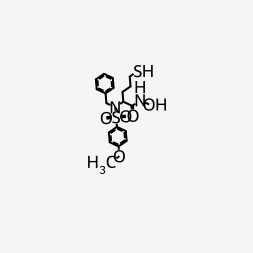 COc1ccc(S(=O)(=O)N(Cc2ccccc2)C(CCCS)C(=O)NO)cc1